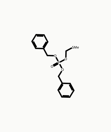 CSCOP(=O)(OCc1ccccc1)OCc1ccccc1